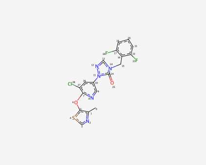 Cc1ncsc1Oc1ncc(-n2ncn(Cc3c(F)cccc3F)c2=O)cc1Cl